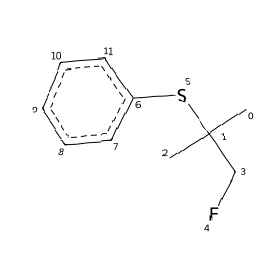 CC(C)(CF)Sc1ccccc1